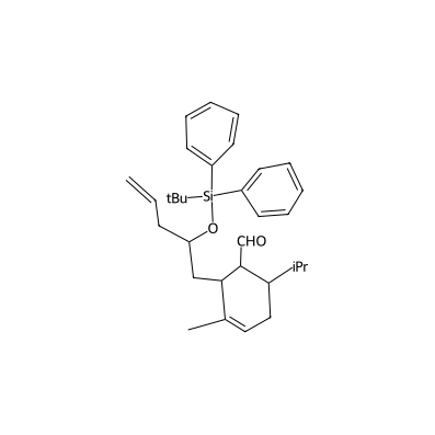 C=CCC(CC1C(C)=CCC(C(C)C)C1C=O)O[Si](c1ccccc1)(c1ccccc1)C(C)(C)C